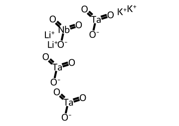 [K+].[K+].[Li+].[Li+].[O]=[Nb](=[O])[O-].[O]=[Ta](=[O])[O-].[O]=[Ta](=[O])[O-].[O]=[Ta](=[O])[O-]